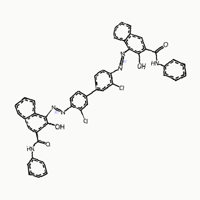 O=C(Nc1ccccc1)c1cc2ccccc2c(/N=N/c2ccc(-c3ccc(/N=N/c4c(O)c(C(=O)Nc5ccccc5)cc5ccccc45)c(Cl)c3)cc2Cl)c1O